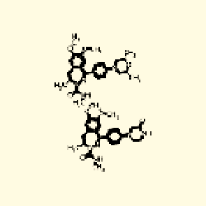 CNC(=O)N1N=C(c2ccc(N3CCNC(=O)C3)cc2)c2cc(OC)c(OC)cc2C[C@@H]1C.CNC(=O)N1N=C(c2ccc(N3C[C@@H](C)O[C@@H](C)C3)cc2)c2cc(OC)c(OC)cc2C[C@@H]1C